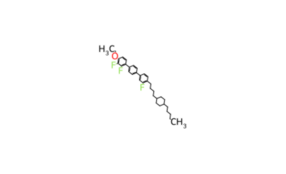 CCCCCC1CCC(CCCCc2ccc(-c3ccc(-c4ccc(OCC)c(F)c4F)cc3)cc2F)CC1